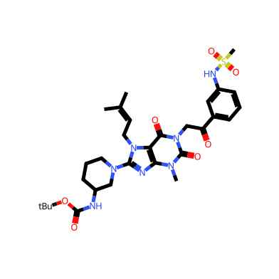 CC(C)=CCn1c(N2CCCC(NC(=O)OC(C)(C)C)C2)nc2c1c(=O)n(CC(=O)c1cccc(NS(C)(=O)=O)c1)c(=O)n2C